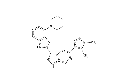 Cc1ncc(-c2cc3c(-c4cc5c(N6CCCCC6)cncc5[nH]4)n[nH]c3cn2)n1C